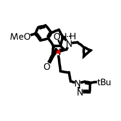 COc1ccc2c(c1)[C@]13CCN(CC4CC4)[C@H](C2)[C@]1(O)CCN(CCCn1cc(C(C)(C)C)cn1)C(=O)C3